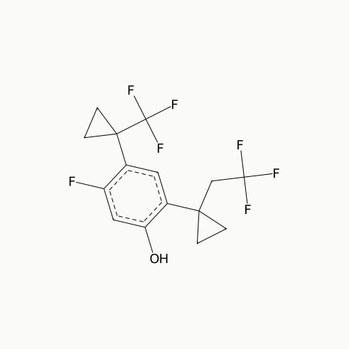 Oc1cc(F)c(C2(C(F)(F)F)CC2)cc1C1(CC(F)(F)F)CC1